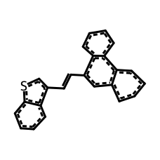 C(=Cc1cc2ccccc2c2ccccc12)c1csc2ccccc12